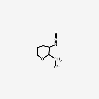 CCC[SiH2]C1OCCCC1N=C=O